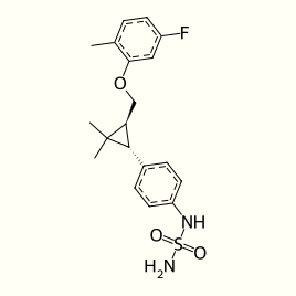 Cc1ccc(F)cc1OC[C@H]1[C@H](c2ccc(NS(N)(=O)=O)cc2)C1(C)C